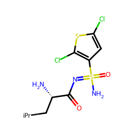 CC(C)C[C@H](N)C(=O)N=S(N)(=O)c1cc(Cl)sc1Cl